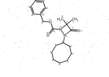 CC1(C)C(=O)N(C2CCCCCCC2)N1C(=O)OCc1ccccc1